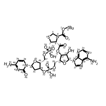 CC(C)(C)OC(=O)N1CSC[C@H]1C(=O)O[C@H]1[C@@H](O)[C@H](n2cnc3c(N)ncnc32)O[C@@H]1COP(=O)(O)O[C@H]1C[C@H](n2ccc(N)nc2=O)O[C@@H]1COP(=O)(O)O